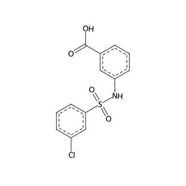 O=C(O)c1cccc(NS(=O)(=O)c2cccc(Cl)c2)c1